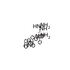 N=C(N)NCCC[C@H](C(N)=O)N(Cc1cccc(CN2C(=O)NC(c3ccccc3)(c3ccccc3)C2=O)c1)C(=O)C(c1ccccc1)c1ccccc1